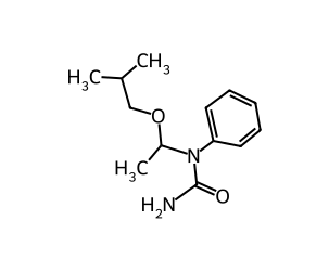 CC(C)COC(C)N(C(N)=O)c1ccccc1